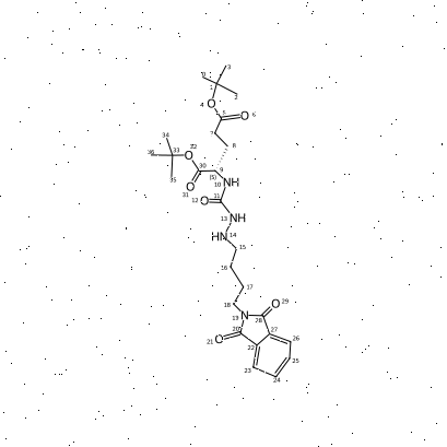 CC(C)(C)OC(=O)CC[C@H](NC(=O)NNCCCCN1C(=O)c2ccccc2C1=O)C(=O)OC(C)(C)C